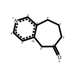 O=C1CCCc2cnccc2C1